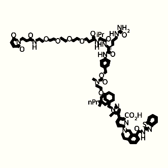 CCCC1(C)CC2(Cn3ncc(-c4ccc(N5CCc6cccc(C(=O)Nc7nc8ccccc8s7)c6C5)nc4C(=O)O)c3C)CCCC(OCCN(C)C(=O)OCc3ccc(NC(=O)[C@H](CCCNC(N)=O)NC(=O)[C@@H](NC(=O)CCOCCOCCOCCOCCNC(=O)CCN4C(=O)C=CC4=O)C(C)C)cc3)(C1)C2